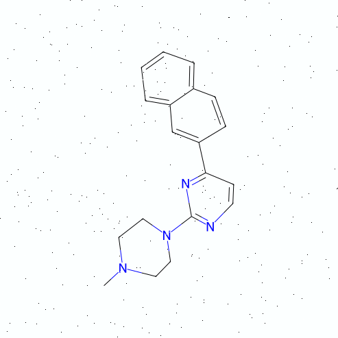 CN1CCN(c2nccc(-c3ccc4ccccc4c3)n2)CC1